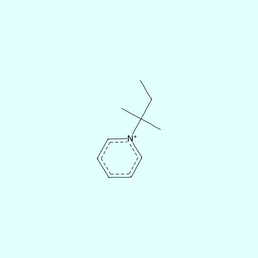 CCC(C)(C)[n+]1ccccc1